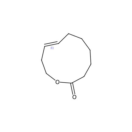 O=C1CCCCC/C=C/CCO1